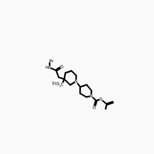 C=C(C)OC(=O)N1CCC(N2CCCC(CC(=O)NC(C)C)(C(=O)OCC)C2)CC1